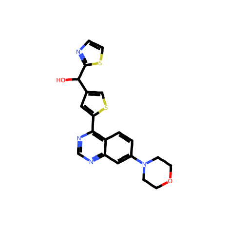 OC(c1csc(-c2ncnc3cc(N4CCOCC4)ccc23)c1)c1nccs1